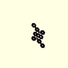 C1=CCC(c2ccc(N(C3=c4ccccc4=C(N(c4ccccc4)c4ccc(-c5ccccc5)cc4)C4C=CC=CC34)c3ccccc3)cc2)C=C1